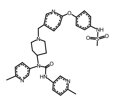 Cc1ccc(NC(=O)N(c2ccc(C)nc2)C2CCN(Cc3ccc(Oc4ccc(NS(C)(=O)=O)cc4)nc3)CC2)cn1